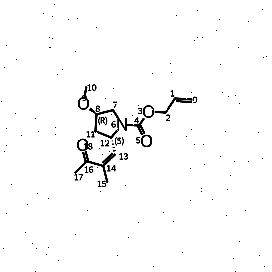 C=CCOC(=O)N1C[C@H](OC)C[C@H]1C=C(C)C(C)=O